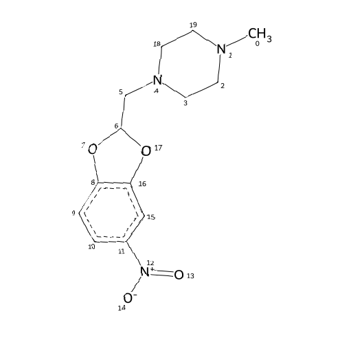 CN1CCN(CC2Oc3ccc([N+](=O)[O-])cc3O2)CC1